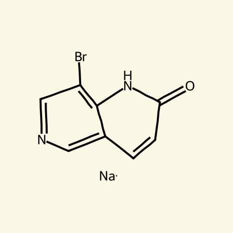 O=c1ccc2cncc(Br)c2[nH]1.[Na]